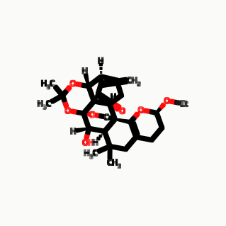 C=C1C(=O)[C@@]23[C@@H]4OC(C)(C)OC25OC[C@]2(C6=C(CC[C@H](OCC)O6)CC(C)(C)[C@H]2[C@@H]5O)[C@@H]3CC[C@@H]14